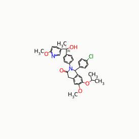 COc1ccc([C@@](C)(O)c2ccc(N3C(=O)Cc4cc(OC)c(OC(C)C)cc4C3c3ccc(Cl)cc3)cc2)cn1